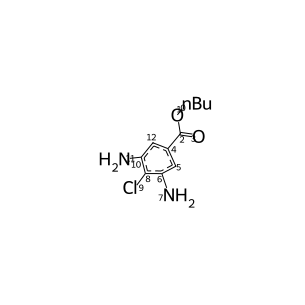 CCCCOC(=O)c1cc(N)c(Cl)c(N)c1